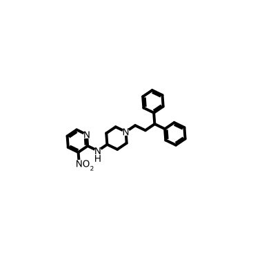 O=[N+]([O-])c1cccnc1NC1CCN(CCC(c2ccccc2)c2ccccc2)CC1